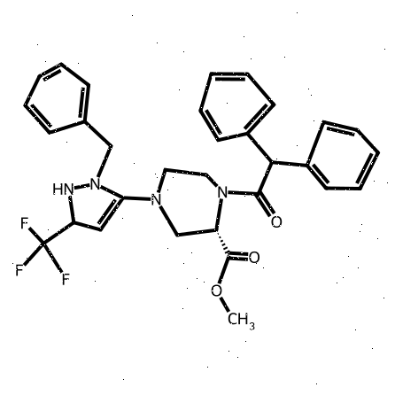 COC(=O)[C@@H]1CN(C2=CC(C(F)(F)F)NN2Cc2ccccc2)CCN1C(=O)C(c1ccccc1)c1ccccc1